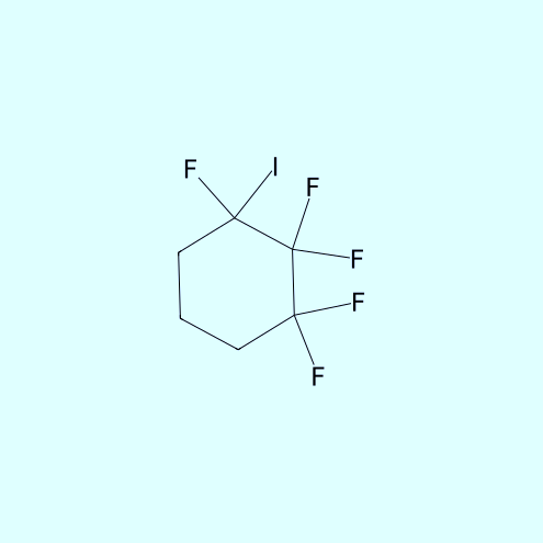 FC1(F)CCCC(F)(I)C1(F)F